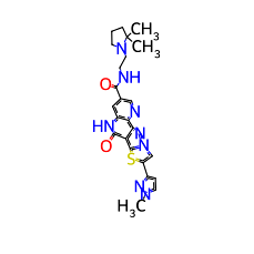 Cn1ccc(-c2cn3nc4c5ncc(C(=O)NCCN6CCCC6(C)C)cc5[nH]c(=O)c4c3s2)n1